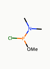 COP(Cl)N(C)C